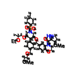 CCOC(C)CO[C@@H]1CN(S(=O)(=O)c2ccc(C)cc2)C[C@H](OCc2ccc3c(c2)N(C(=O)C2NCCC2OC)CCO3)[C@H]1c1ccc(COCCOC)cc1